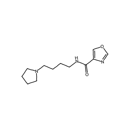 O=C(NCCCCN1CCCC1)c1cocn1